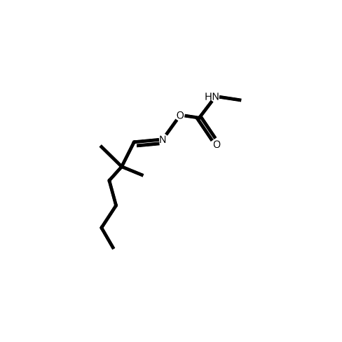 CCCCC(C)(C)/C=N/OC(=O)NC